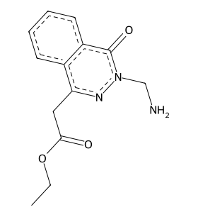 CCOC(=O)Cc1nn(CN)c(=O)c2ccccc12